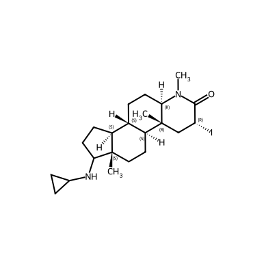 CN1C(=O)[C@H](I)C[C@]2(C)[C@H]3CC[C@]4(C)C(NC5CC5)CC[C@H]4[C@@H]3CC[C@@H]12